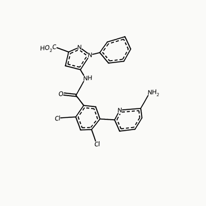 Nc1cccc(-c2cc(C(=O)Nc3cc(C(=O)O)nn3-c3ccccc3)c(Cl)cc2Cl)n1